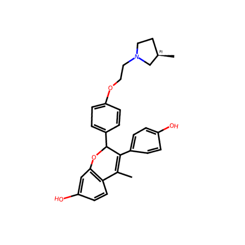 CC1=C(c2ccc(O)cc2)C(c2ccc(OCCN3CC[C@@H](C)C3)cc2)Oc2cc(O)ccc21